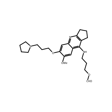 COc1cc2c(NCCCOC=O)c3c(nc2cc1OCCCN1CCCC1)CCC3